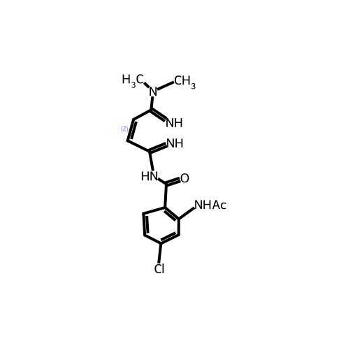 CC(=O)Nc1cc(Cl)ccc1C(=O)NC(=N)/C=C\C(=N)N(C)C